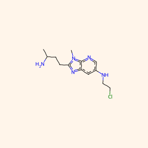 CC(N)CCc1nc2cc(NCCCl)cnc2n1C